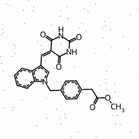 COC(=O)Cc1ccc(Cn2cc(C=C3C(=O)NC(=O)NC3=O)c3ccccc32)cc1